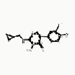 Cn1c(NCC2CC2)ncc(-c2ccc(O)c(F)c2)c1=O